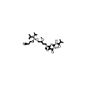 COC(CCn1cnc2c(=O)[nH]c(NC(=O)C(C)C)nc21)COP(OCCC#N)N(C(C)C)C(C)C